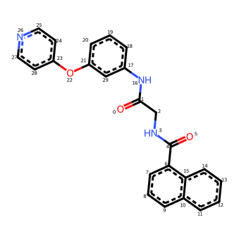 O=C(CNC(=O)c1cccc2ccccc12)Nc1cccc(Oc2ccncc2)c1